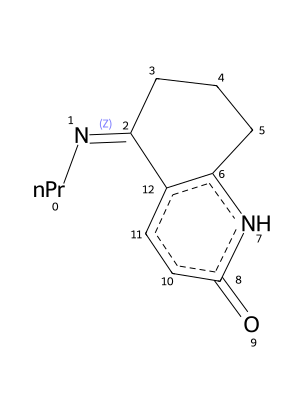 CCC/N=C1/CCCc2[nH]c(=O)ccc21